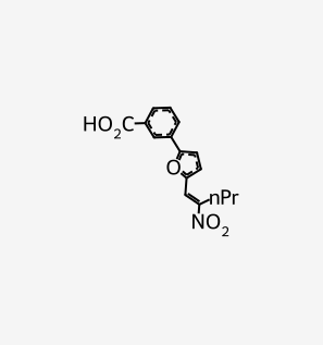 CCC/C(=C\c1ccc(-c2cccc(C(=O)O)c2)o1)[N+](=O)[O-]